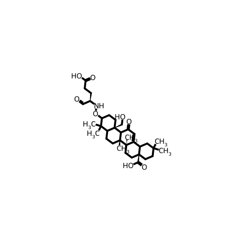 CC1(C)CC[C@]2(C(=O)O)CC[C@]3(C)C(=CC(=O)C4[C@@]5(CO)CCC(ON[C@@H](C=O)CCC(=O)O)C(C)(C)C5CC[C@]43C)C2C1